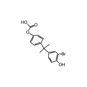 CC(C)(c1ccc(OC(=O)O)cc1)c1ccc(O)c(Br)c1